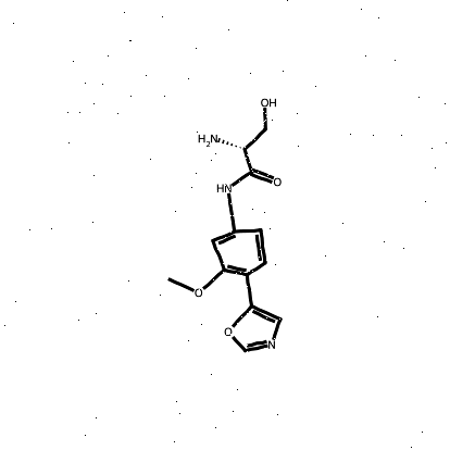 COc1cc(NC(=O)[C@H](N)CO)ccc1-c1cnco1